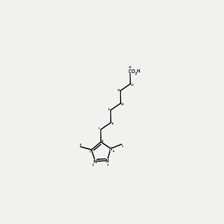 Cc1nnn(C)c1CCCCCCC(=O)O